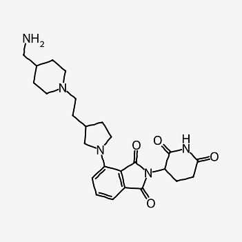 NCC1CCN(CCC2CCN(c3cccc4c3C(=O)N(C3CCC(=O)NC3=O)C4=O)C2)CC1